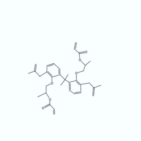 C=CC(=O)OC(C)COc1c(CC(=C)C)cccc1C(C)(C)c1cccc(CC(=C)C)c1OCC(C)OC(=O)C=C